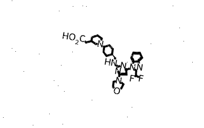 O=C(O)CC1CCCN([C@H]2CC[C@H](CNc3nc(N4CCOCC4)cc(-n4c(C(F)F)nc5ccccc54)n3)CC2)C1